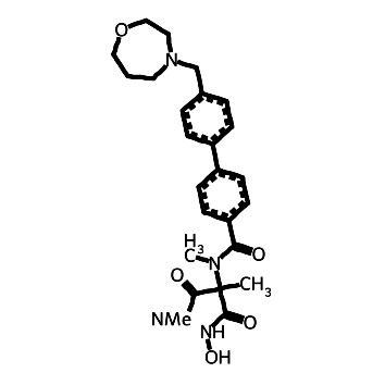 CNC(=O)C(C)(C(=O)NO)N(C)C(=O)c1ccc(-c2ccc(CN3CCCOCC3)cc2)cc1